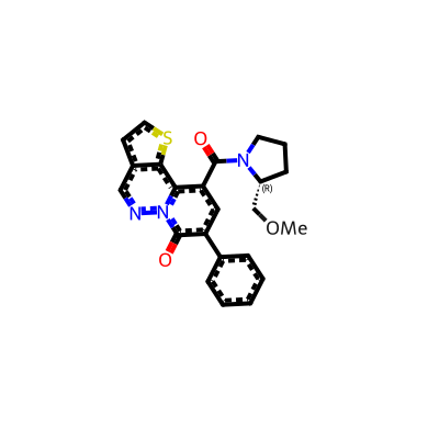 COC[C@H]1CCCN1C(=O)c1cc(-c2ccccc2)c(=O)n2ncc3ccsc3c12